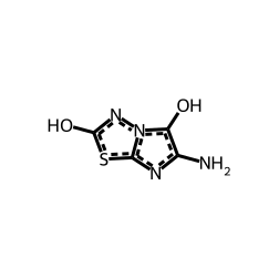 Nc1nc2sc(O)nn2c1O